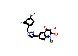 CCN1C(=O)C(O)C(=O)c2cc(-c3ccn(Cc4ccc(C(F)(F)F)cc4F)n3)ccc21